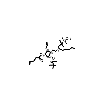 C=CCCC(=O)O[C@H]1C[C@@H](O[Si](C)(C)C(C)(C)C)[C@H](CC[C@H](CCCCC)CC(C)(C)[Si](C)(C)O)[C@H]1CC=C